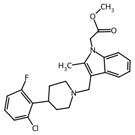 COC(=O)Cn1c(C)c(CN2CCC(c3c(F)cccc3Cl)CC2)c2ccccc21